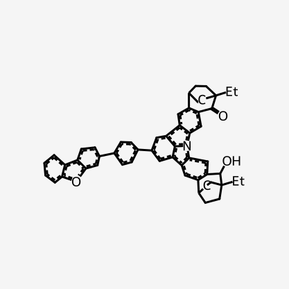 CCC12CCC(CC1)c1cc3c4cc(-c5ccc(-c6ccc7c(c6)oc6ccccc67)cc5)cc5c6cc7c(cc6n(c3cc1C2=O)c45)C(O)C1(CC)CCC7CC1